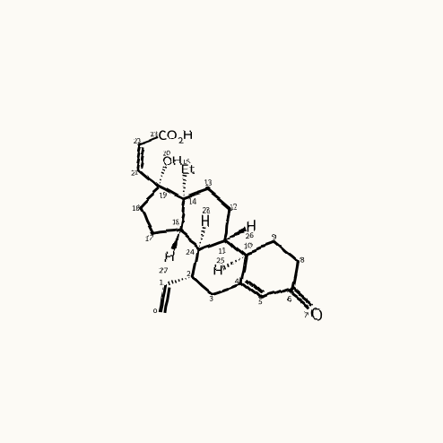 C=C[C@H]1CC2=CC(=O)CC[C@@H]2[C@H]2CC[C@@]3(CC)[C@@H](CC[C@@]3(O)/C=C\C(=O)O)[C@@H]21